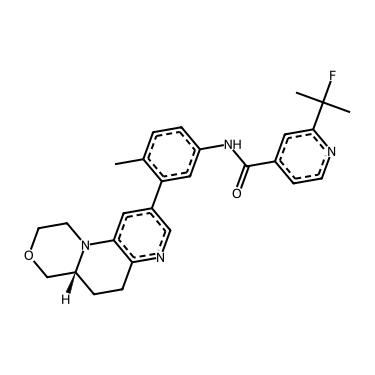 Cc1ccc(NC(=O)c2ccnc(C(C)(C)F)c2)cc1-c1cnc2c(c1)N1CCOC[C@H]1CC2